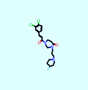 O=C(/C=C/c1ccc(Cl)c(Cl)c1)N1CCC(=O)N(CCCN2CCC(F)CC2)CC1